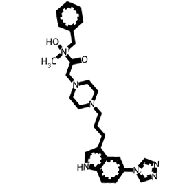 C[N+](O)(Cc1ccccc1)C(=O)CN1CCN(CCCc2c[nH]c3ccc(-n4cnnc4)cc23)CC1